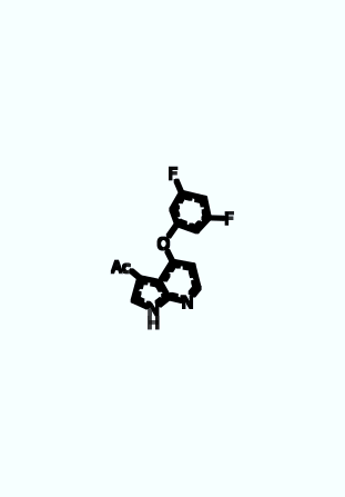 CC(=O)c1c[nH]c2nccc(Oc3cc(F)cc(F)c3)c12